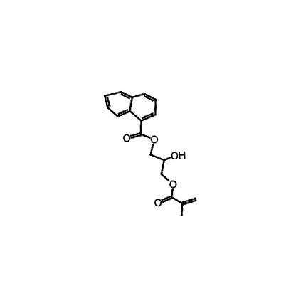 C=C(C)C(=O)OCC(O)COC(=O)c1cccc2ccccc12